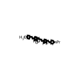 CCCC1CCC(CCc2ccc(CCc3cc4ccc(CCC5CCC(C)CC5)c(F)c4c(=O)o3)c(F)c2F)CC1